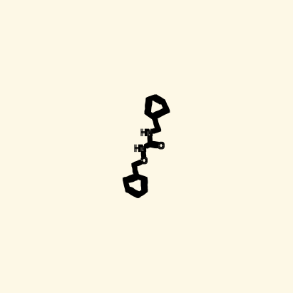 O=C(NCc1ccccc1)NOCc1ccccc1